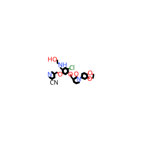 N#Cc1cncc(COc2cc(OCc3cccn(-c4ccc5c(c4)OCCO5)c3=O)c(Cl)cc2CNCCO)c1